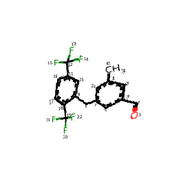 Cc1cc(C=O)cc(Cc2cc(C(F)(F)F)ccc2C(F)(F)F)c1